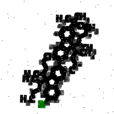 CCCC(C)C1(C(C)CCC)c2cc(Br)ccc2-c2ccc(-c3ccc4c(c3)C(C(C)CCC)(C(C)CCC)c3cc([Si](C)(C)C)ccc3-4)cc21